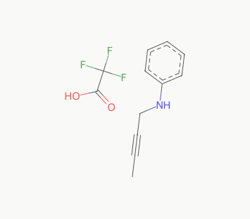 CC#CCNc1ccccc1.O=C(O)C(F)(F)F